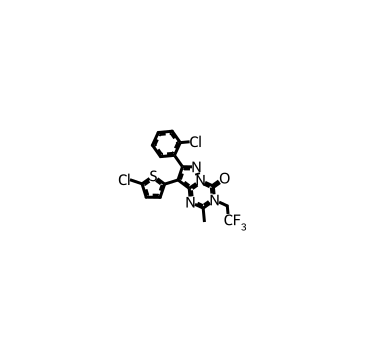 Cc1nc2c(-c3ccc(Cl)s3)c(-c3ccccc3Cl)nn2c(=O)n1CC(F)(F)F